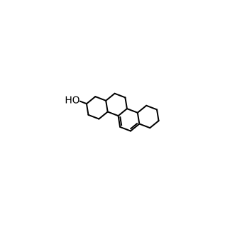 OC1CCC2C3=CC=C4CCCCC4C3CCC2C1